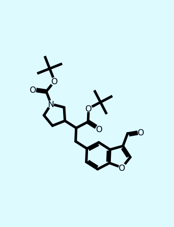 CC(C)(C)OC(=O)C(Cc1ccc2occ(C=O)c2c1)C1CCN(C(=O)OC(C)(C)C)C1